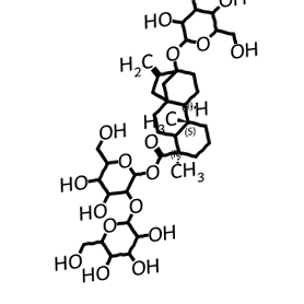 C=C1CC23CCC4[C@](C)(C(=O)OC5OC(CO)C(O)C(O)C5OC5OC(CO)C(O)C(O)C5O)CCC[C@@]4(C)[C@@H]2CCC1(OC1OC(CO)C(O)C(O)C1O)C3